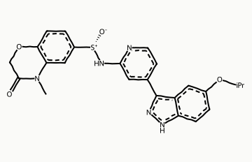 CC(C)Oc1ccc2[nH]nc(-c3ccnc(N[S@@+]([O-])c4ccc5c(c4)N(C)C(=O)CO5)c3)c2c1